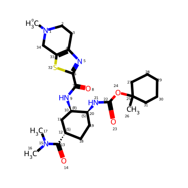 CN1CCc2nc(C(=O)N[C@@H]3C[C@@H](C(=O)N(C)C)CC[C@@H]3NC(=O)OC3(C)CCCCC3)sc2C1